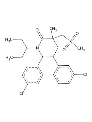 CCC(CC)N1C(=O)C(C)(CS(C)(=O)=O)CC(c2cccc(Cl)c2)C1c1ccc(Cl)cc1